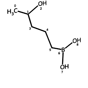 CC(O)CCCB(O)O